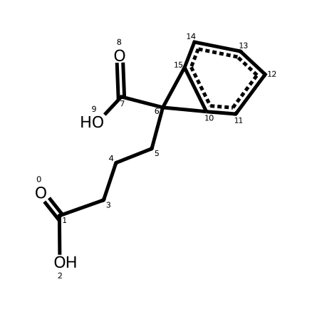 O=C(O)CCCC1(C(=O)O)c2ccccc21